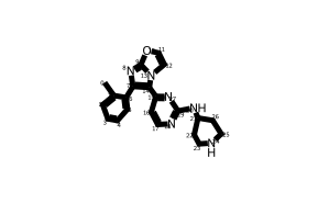 Cc1ccccc1-c1nc2occn2c1-c1ccnc(NC2CCNCC2)n1